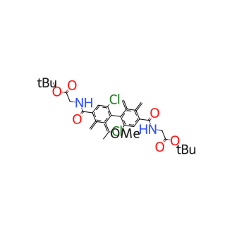 C=c1c(C(=O)NCC(=O)OC(C)(C)C)cc(Cl)c(-c2c(Cl)cc(C(=O)NCC(=O)OC(C)(C)C)c(=C)/c2=C(\C)OC)c1=C